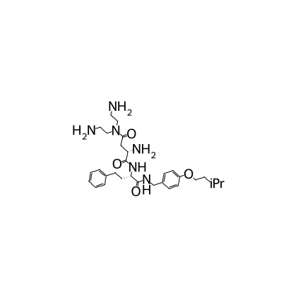 CC(C)CCOc1ccc(CNC(=O)[C@H](CCc2ccccc2)NC(=O)[C@@H](N)CC(=O)N(CCN)CCN)cc1